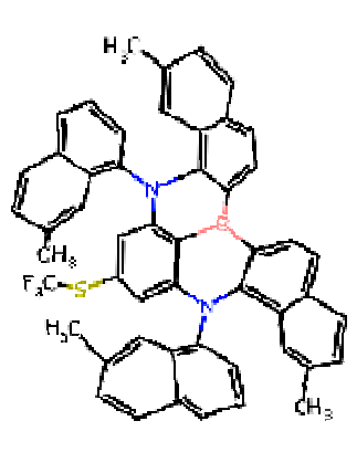 Cc1ccc2cccc(N3c4cc(SC(F)(F)F)cc5c4B(c4ccc6ccc(C)cc6c43)c3ccc4ccc(C)cc4c3N5c3cccc4ccc(C)cc34)c2c1